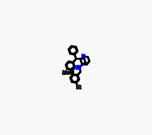 CCc1ccc(OC)c(CNC2C3CCN(CC3)C2C(c2ccccc2)c2ccccc2)c1